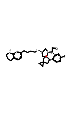 O=C[C@H](c1cc(F)ccc1[C@H]1CC2(CC2)CO1)N1CC[C@@H](OCCCCc2ccc3c(n2)NCCC3)C1